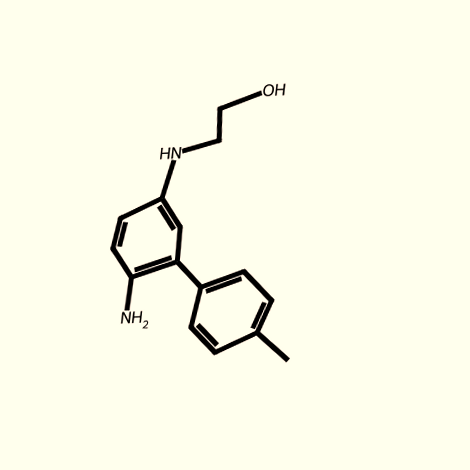 Cc1ccc(-c2cc(NCCO)ccc2N)cc1